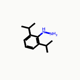 CC(C)c1cccc(C(C)C)c1NN